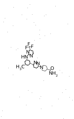 Cc1cc(Nc2nccc(C(F)(F)F)n2)cc(-c2ccc(N3CCC(C(N)=O)CC3)nn2)c1